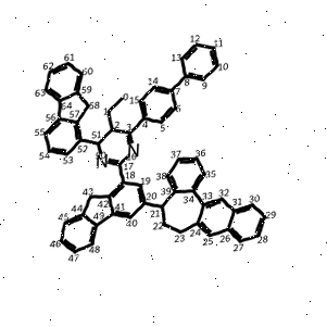 CCC1C(c2ccc(-c3ccccc3)cc2)=NC(c2cc(C3CCc4cc5ccccc5cc4-c4ccccc43)cc3c2Cc2ccccc2-3)=NC1c1cccc2c1Cc1ccccc1-2